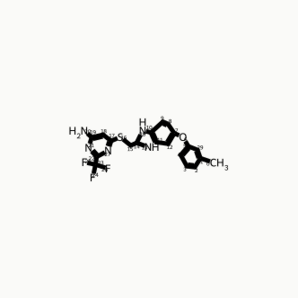 Cc1cccc(Oc2ccc3c(c2)NC(CSc2cc(N)nc(C(F)(F)F)n2)N3)c1